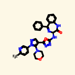 O=C1Nc2ccccc2C(c2ccccc2)=N[C@@H]1Nc1nnc(-c2cnn(-c3ccc(C(F)(F)F)nc3)c2N2CCOCC2)o1